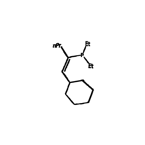 CCCC(=CC1CCCCC1)P(CC)CC